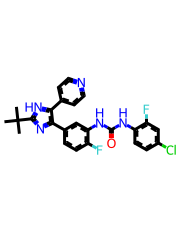 CC(C)(C)c1nc(-c2ccc(F)c(NC(=O)Nc3ccc(Cl)cc3F)c2)c(-c2ccncc2)[nH]1